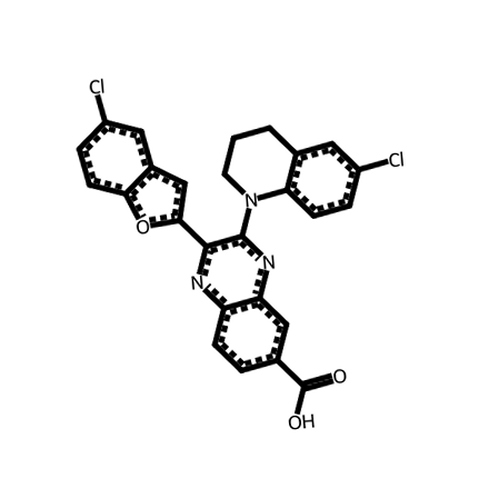 O=C(O)c1ccc2nc(-c3cc4cc(Cl)ccc4o3)c(N3CCCc4cc(Cl)ccc43)nc2c1